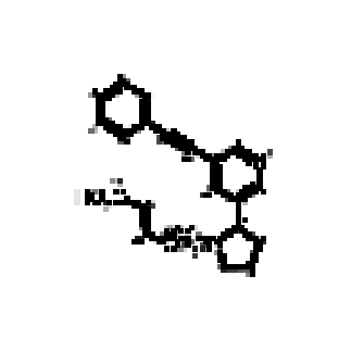 CN1CCCC1c1cncc(C#Cc2ccccc2)c1.O=C(O)/C=C/C(=O)O